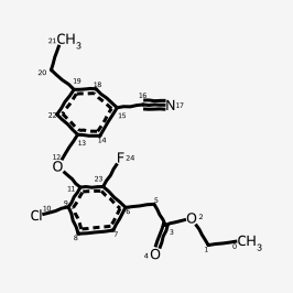 CCOC(=O)Cc1ccc(Cl)c(Oc2cc(C#N)cc(CC)c2)c1F